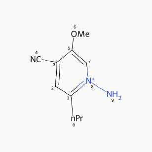 CCCc1cc(C#N)c(OC)c[n+]1N